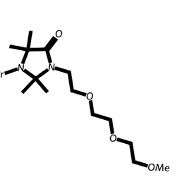 COCCOCCOCCN1C(=O)C(C)(C)N(Br)C1(C)C